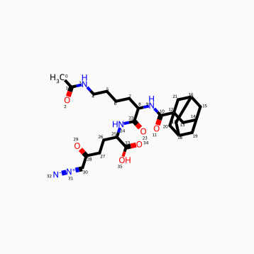 CC(=O)NCCCCC(NC(=O)C12CC3CC(CC(C3)C1)C2)C(=O)NC(CCC(=O)C=[N+]=[N-])C(=O)O